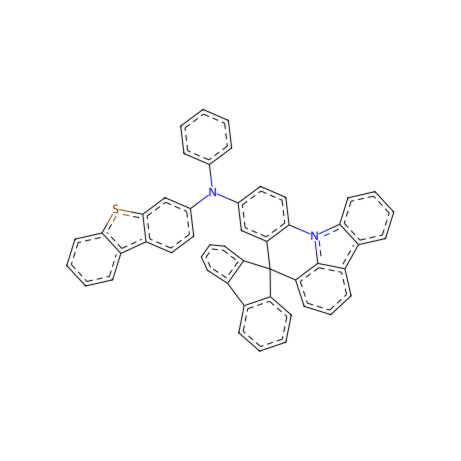 c1ccc(N(c2ccc3c(c2)C2(c4ccccc4-c4ccccc42)c2cccc4c5ccccc5n-3c24)c2ccc3c(c2)sc2ccccc23)cc1